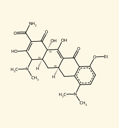 CCOc1ccc(N(C)C)c2c1C(=O)C1=C(O)[C@]3(O)C(=O)C(C(N)=O)=C(O)C(N(C)C)[C@@H]3C[C@@H]1C2